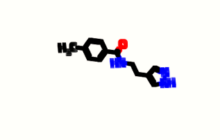 Cc1ccc(C(=O)NCCc2cn[nH]c2)cc1